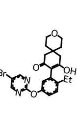 CCc1ccc(Oc2ncc(Br)cn2)cc1C1=C(O)CC2(CCOCC2)CC1=O